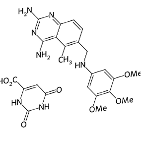 COc1cc(NCc2ccc3nc(N)nc(N)c3c2C)cc(OC)c1OC.O=C(O)c1cc(=O)[nH]c(=O)[nH]1